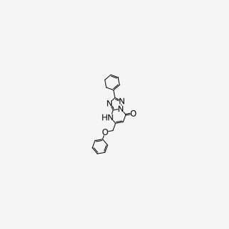 O=c1cc(COc2ccccc2)[nH]c2nc(C3=CC=CCC3)nn12